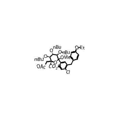 CCCCO[C@@H]1[C@@H](OCCCC)[C@](OC)(c2ccc(Cl)c(Cc3ccc(OCC)cc3)c2)O[C@@](COC(C)=O)(C(=O)O)[C@H]1OCCCC